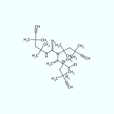 C#CC(C)(C)CC(C)(C)NC(=C)N(C(=C)[PH](C)(CC(C)(C)C#C)C(=C)CC)C(C)(C)CC(C)(C)C#C